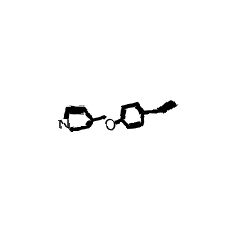 C#Cc1ccc(OCc2ccncc2)cc1